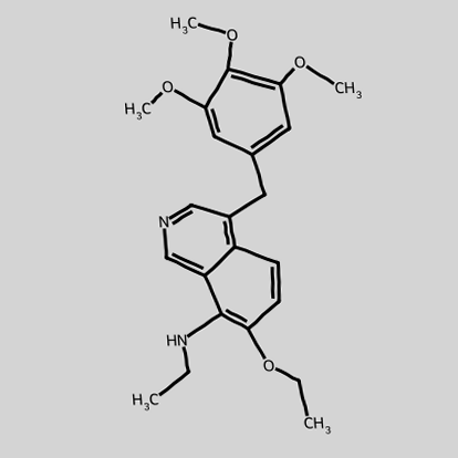 CCNc1c(OCC)ccc2c(Cc3cc(OC)c(OC)c(OC)c3)cncc12